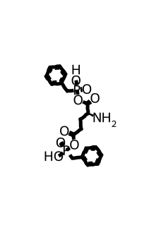 N[C@@H](CCC(=O)OP(=O)(O)Cc1ccccc1)C(=O)OP(=O)(O)Cc1ccccc1